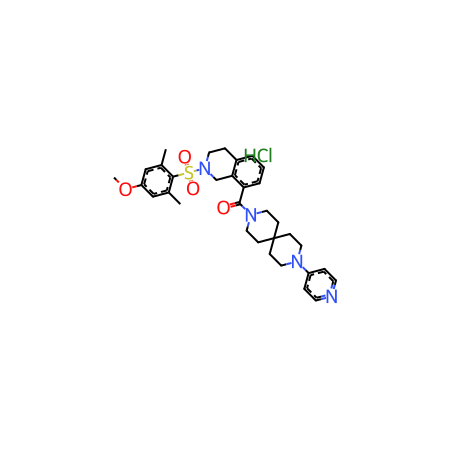 COc1cc(C)c(S(=O)(=O)N2CCc3cccc(C(=O)N4CCC5(CC4)CCN(c4ccncc4)CC5)c3C2)c(C)c1.Cl